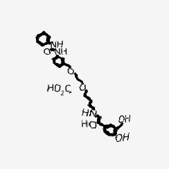 CC(=O)O.O=C(Nc1ccccc1)Nc1cccc(COCCCOCCCCCNC[C@H](O)c2ccc(O)c(CO)c2)c1